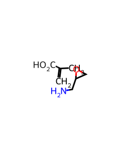 C=C(C)C(=O)O.NCC1CO1